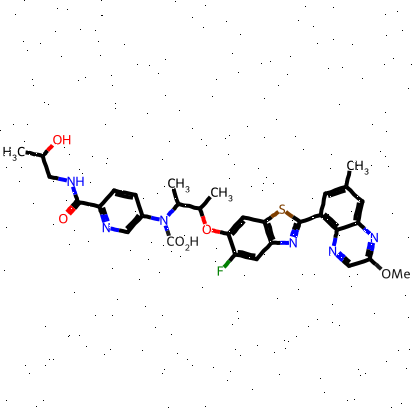 COc1cnc2c(-c3nc4cc(F)c(OC(C)C(C)N(C(=O)O)c5ccc(C(=O)NCC(C)O)nc5)cc4s3)cc(C)cc2n1